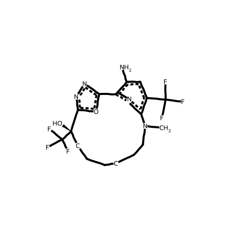 CN1CCCCCC[C@](O)(C(F)(F)F)c2nnc(o2)-c2nc1c(C(F)(F)F)cc2N